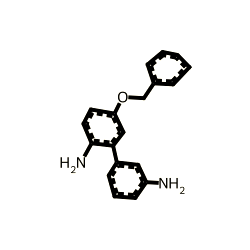 Nc1cccc(-c2cc(OCc3ccccc3)ccc2N)c1